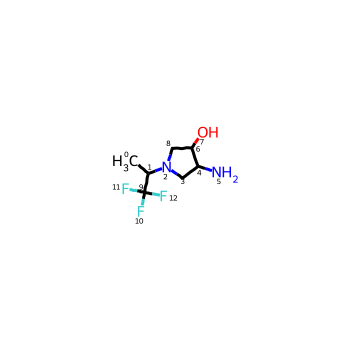 CC(N1CC(N)C(O)C1)C(F)(F)F